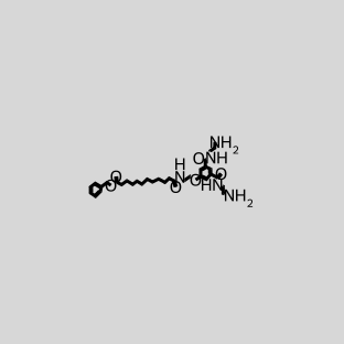 NCCNC(=O)c1cc(OCCNC(=O)CCCCCCCCCCC(=O)OCc2ccccc2)cc(C(=O)NCCN)c1